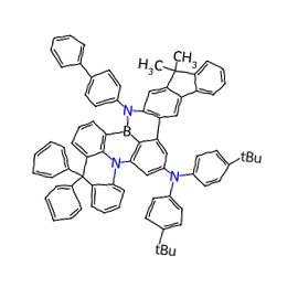 CC(C)(C)c1ccc(N(c2ccc(C(C)(C)C)cc2)c2cc3c4c(c2)N2c5ccccc5C(c5ccccc5)(c5ccccc5)c5cccc(c52)B4N(c2ccc(-c4ccccc4)cc2)c2cc4c(cc2-3)-c2ccccc2C4(C)C)cc1